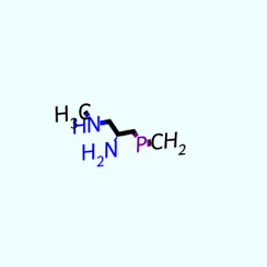 C=PC[C@H](N)CNC